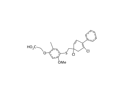 COc1cc(OCC(=O)O)c(C)cc1SCC1(Cl)C=CC(c2ccccc2)=C(Cl)C1